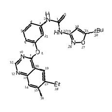 C=C(Nc1cccc(Oc2ncnc3cc(C)c(CC)cc23)c1)Nc1cc(C(C)(C)C)on1